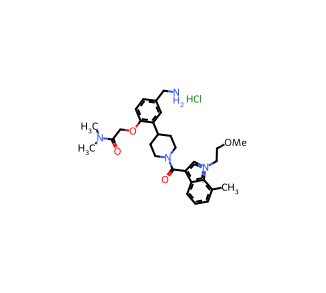 COCCn1cc(C(=O)N2CCC(c3cc(CN)ccc3OCC(=O)N(C)C)CC2)c2cccc(C)c21.Cl